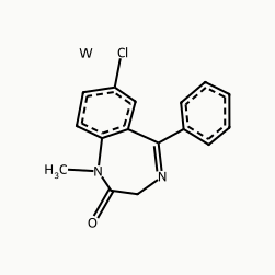 CN1C(=O)CN=C(c2ccccc2)c2cc(Cl)ccc21.[W]